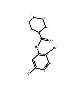 O=C(Nc1cc(Cl)ccc1Br)C1CCSCC1